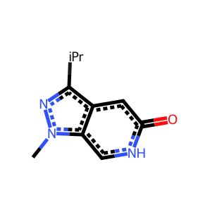 CC(C)c1nn(C)c2c[nH]c(=O)cc12